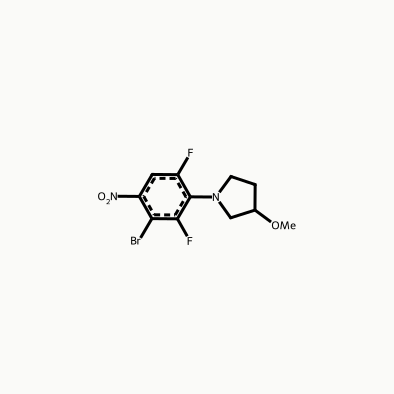 COC1CCN(c2c(F)cc([N+](=O)[O-])c(Br)c2F)C1